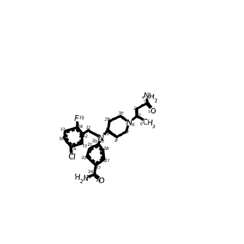 CC(CC(N)=O)N1CCC(N(Cc2cc(Cl)ccc2F)c2ccc(C(N)=O)cc2)CC1